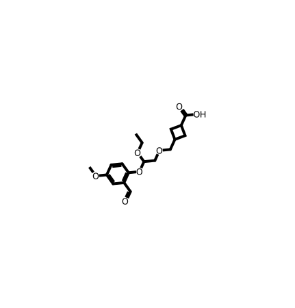 CCOC(COCC1CC(C(=O)O)C1)Oc1ccc(OC)cc1C=O